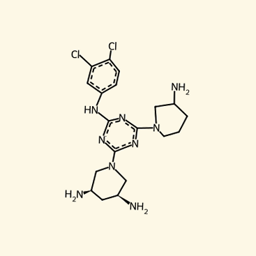 NC1CCCN(c2nc(Nc3ccc(Cl)c(Cl)c3)nc(N3C[C@H](N)C[C@H](N)C3)n2)C1